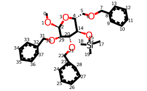 CO[C@H]1O[C@H](COCc2ccccc2)[C@@H](O[Si](C)(C)C)[C@H](OCc2ccccc2)[C@H]1OCc1ccccc1